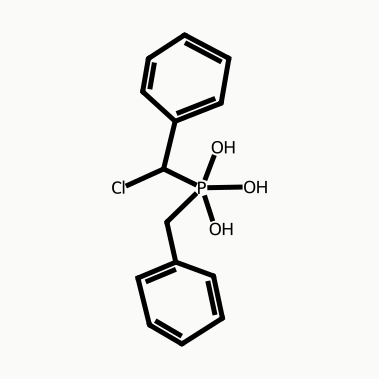 OP(O)(O)(Cc1ccccc1)C(Cl)c1ccccc1